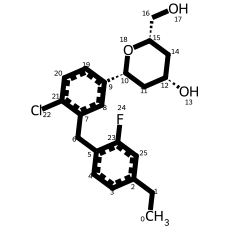 CCc1ccc(Cc2cc([C@H]3C[C@@H](O)C[C@@H](CO)O3)ccc2Cl)c(F)c1